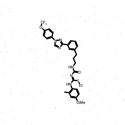 CCS/C(=N\C(=O)NCCCc1cccc(-c2ncn(-c3ccc(OC(F)(F)F)cc3)n2)c1)Nc1ccc(OC)cc1C